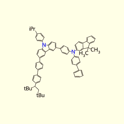 CC(C)c1ccc(-n2c3ccc(-c4ccc(-c5ccc(C(CC(C)(C)C)C(C)(C)C)cc5)cc4)cc3c3cc(-c4ccc(N(c5ccc(-c6ccccc6)cc5)c5ccc6c(c5)C(C)(C)c5ccccc5-6)cc4)ccc32)cc1